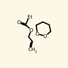 C1CCOOC1.C=CCOC(=O)CC